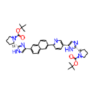 CC(C)(C)OC(=O)N1CCC[C@H]1c1nc(-c2ccc3cc(-c4ccc(-c5cnc([C@@H]6CCCN6C(=O)OC(C)(C)C)[nH]5)cn4)ccc3c2)c[nH]1